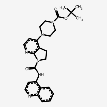 CC(C)(C)OC(=O)N1CCN(c2ccnc3c2CCN3C(=O)Nc2ccnc3ccccc23)CC1